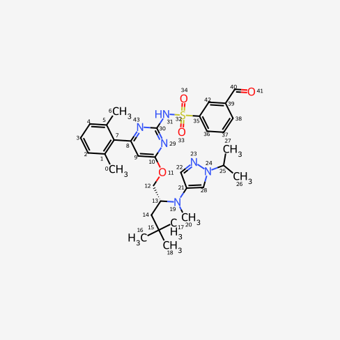 Cc1cccc(C)c1-c1cc(OC[C@@H](CC(C)(C)C)N(C)c2cnn(C(C)C)c2)nc(NS(=O)(=O)c2cccc(C=O)c2)n1